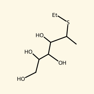 CCSC(C)C(O)C(O)C(O)CO